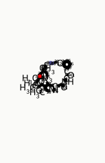 COC(=O)[C@@H](OC(C)(C)C)c1c(C)cn2nc3cc2c1N1CCC(C)(CC1)OC/C=C/COc1ccccc1CC(=O)CNC3=O